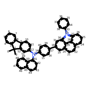 CC1(C)c2ccccc2-c2ccc(N(c3ccc(-c4cc5ccc6cccc7c6c5c(c4)n7-c4ccccc4)cc3)c3cccc4ccccc34)cc21